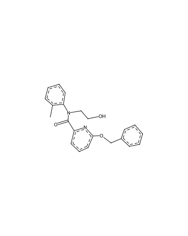 Cc1ccccc1N(CCO)C(=O)c1cccc(OCc2ccccc2)n1